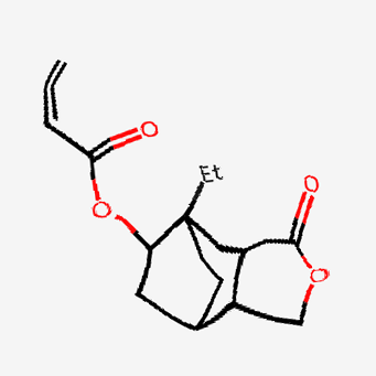 C=CC(=O)OC1CC2CC1(CC)C1C(=O)OCC21